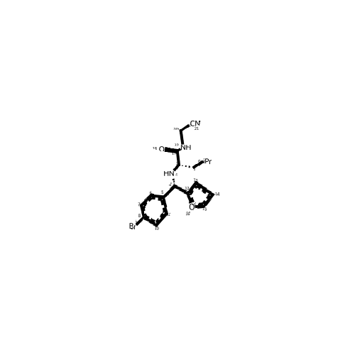 CC(C)C[C@H](N[C@@H](c1ccc(Br)cc1)c1ccco1)C(=O)NCC#N